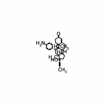 CC#C[C@]1(O)CC[C@H]2[C@@H]3CCC4=CC(=O)CC[C@]4(C)[C@H]3[C@@H](c3ccc(N)cc3)C[C@@]21C